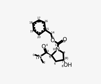 CN(C)C(=O)[C@@H]1C[C@@H](O)CN1C(=O)OCc1ccccc1